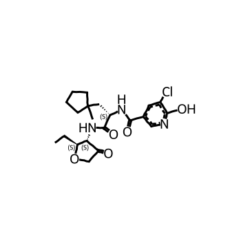 CC[C@@H]1OCC(=O)[C@H]1NC(=O)[C@H](CC1(C)CCCC1)NC(=O)c1cnc(O)c(Cl)c1